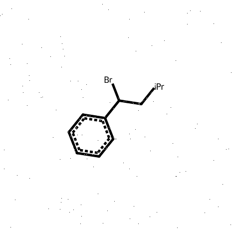 CC(C)CC(Br)c1[c]cccc1